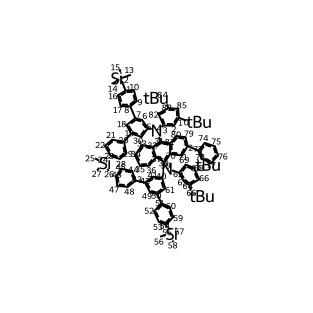 CC(C)(C)c1cc(N(c2cc(-c3ccc([Si](C)(C)C)cc3)cc(-c3ccc([Si](C)(C)C)cc3)c2)c2c3ccccc3c(N(c3cc(-c4ccccc4)cc(-c4ccc([Si](C)(C)C)cc4)c3)c3cc(C(C)(C)C)cc(C(C)(C)C)c3)c3cc(-c4ccccc4)ccc23)cc(C(C)(C)C)c1